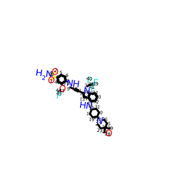 NS(=O)(=O)c1ccc(NCC#Cc2cc3c(N[C@H]4CC[C@H](N5CCC6(CC5)COC6)CC4)cccc3n2CC(F)(F)F)c(OCF)c1